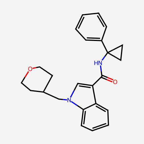 O=C(NC1(c2ccccc2)CC1)c1cn(CC2CCOCC2)c2ccccc12